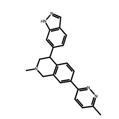 Cc1ccc(-c2ccc3c(c2)CN(C)CC3c2ccc3cn[nH]c3c2)nn1